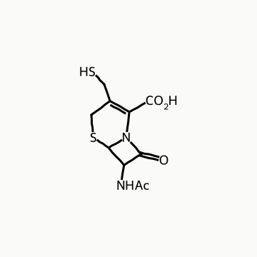 CC(=O)NC1C(=O)N2C(C(=O)O)=C(CS)CSC12